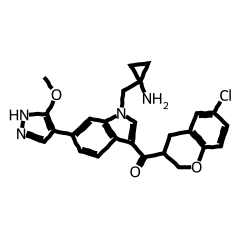 COc1[nH]ncc1-c1ccc2c(C(=O)C3COc4ccc(Cl)cc4C3)cn(CC3(N)CC3)c2c1